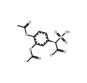 CC(=O)Oc1ccc([C@H](C(=O)Cl)S(=O)(=O)O)cc1OC(C)=O